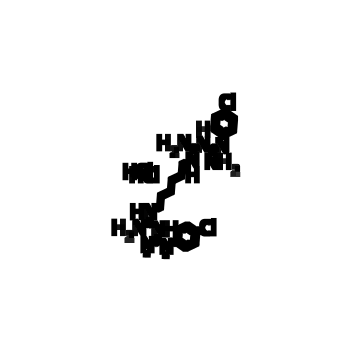 CN=C(NC(N)NCCCCCCNC(N)NC(N)=Nc1ccc(Cl)cc1)N(C)c1ccc(Cl)cc1.Cl.Cl